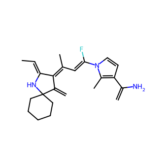 C=C(N)c1ccn(/C(F)=C/C(C)=C2\C(=C)C3(CCCCC3)N\C2=C/C)c1C